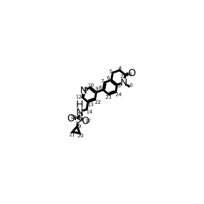 CN1C(=O)CCc2cc(-c3cncc(CNS(=O)(=O)C4CC4)c3)ccc21